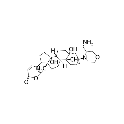 C[C@]12CC[C@H](N3CCOCC3CN)C[C@@]1(O)CC[C@@H]1[C@@H]2CC[C@]2(C)[C@@H](c3ccc(=O)oc3)CC[C@]12O